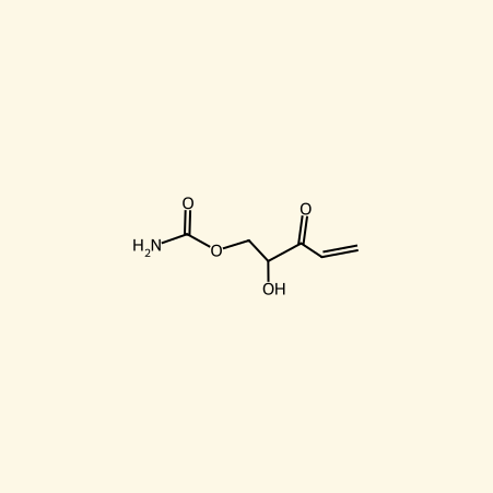 C=CC(=O)C(O)COC(N)=O